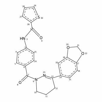 O=C(Nc1ccc(C(=O)N2CCCC(c3ccc4c(c3)OCO4)=N2)cc1)c1cccs1